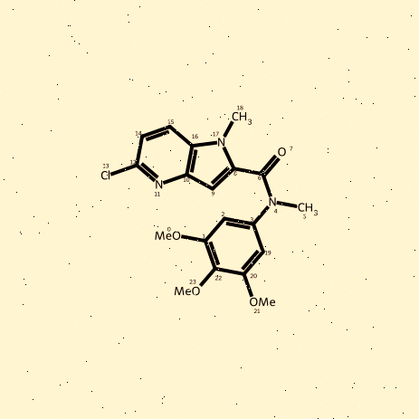 COc1cc(N(C)C(=O)c2cc3nc(Cl)ccc3n2C)cc(OC)c1OC